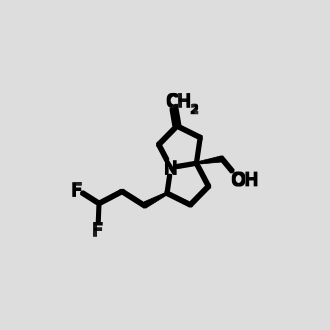 C=C1CN2[C@H](CCC(F)F)CC[C@@]2(CO)C1